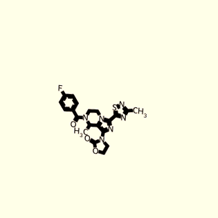 Cc1nsc(-c2nc(N3CCOC3=O)c3n2CCN(C(=O)c2ccc(F)cc2)C3C)n1